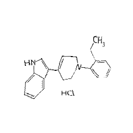 CCc1ccccc1N1CC=C(c2c[nH]c3ccccc23)CC1.Cl